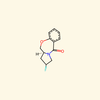 O=C1c2ccccc2OC[C@@H]2C[C@H](F)CN12